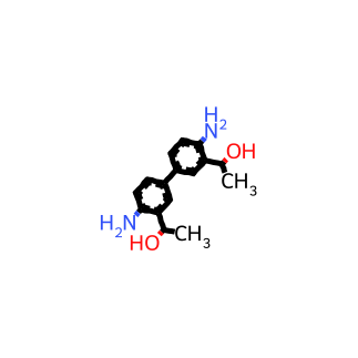 CC(O)c1cc(-c2ccc(N)c(C(C)O)c2)ccc1N